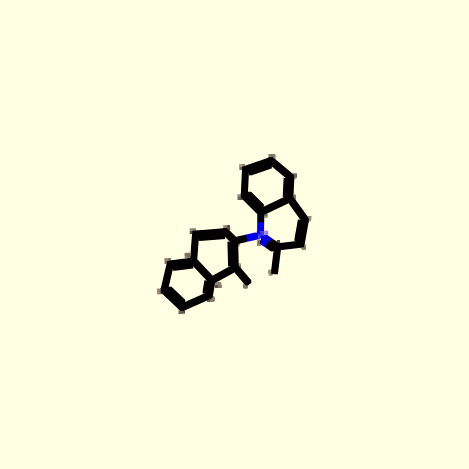 Cc1c(-[n+]2c(C)ccc3ccccc32)ccc2ccccc12